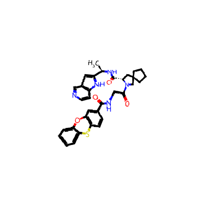 C[C@@H](NC(=O)[C@@H]1CC2(CCCC2)CN1C(=O)CNC(=O)c1ccc2c(c1)Oc1ccccc1S2)c1cc2cnccc2[nH]1